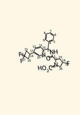 O=C(NC(c1ccccc1)c1ccc(C2CC(F)(F)C2)cn1)[C@H]1CC(F)CN1C(=O)O